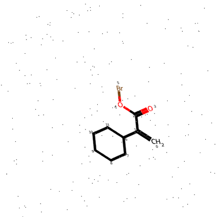 C=C(C(=O)OBr)C1CCCCC1